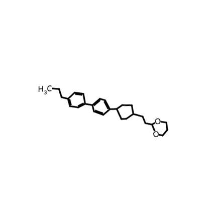 CCCc1ccc(-c2ccc(C3CCC(CCC4OCCCO4)CC3)cc2)cc1